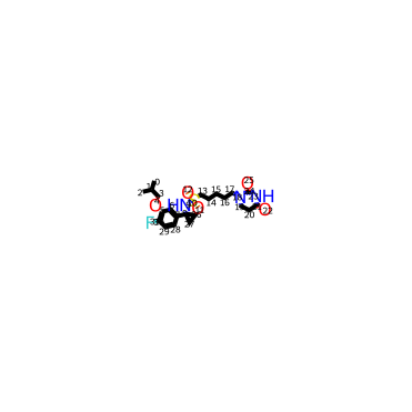 CC(C)COc1cc(C2(NS(=O)(=O)CCCCCN3CCC(=O)NC3=O)CC2)ccc1F